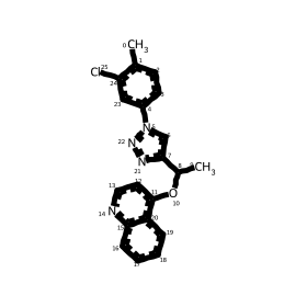 Cc1ccc(-n2cc(C(C)Oc3ccnc4ccccc34)nn2)cc1Cl